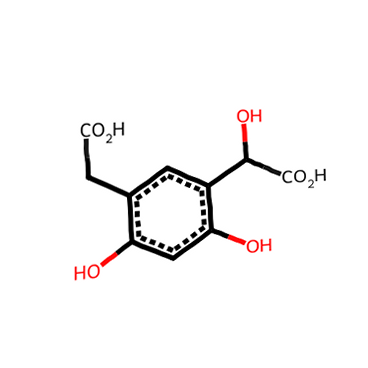 O=C(O)Cc1cc(C(O)C(=O)O)c(O)cc1O